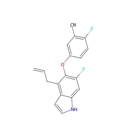 C=CCc1c(Oc2ccc(F)c(C#N)c2)c(F)cc2[nH]ccc12